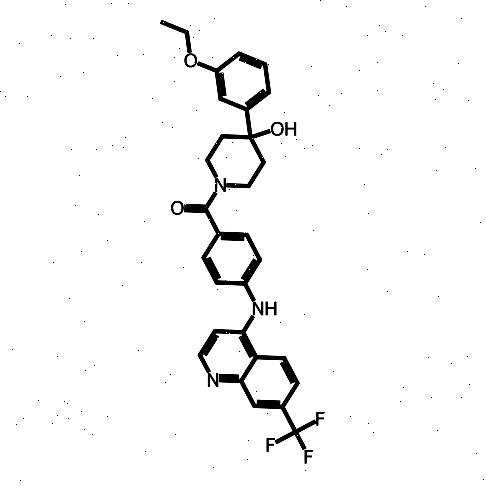 CCOc1cccc(C2(O)CCN(C(=O)c3ccc(Nc4ccnc5cc(C(F)(F)F)ccc45)cc3)CC2)c1